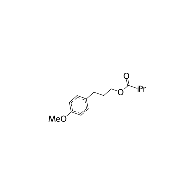 COc1ccc(CCCOC(=O)C(C)C)cc1